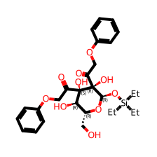 CC[Si](CC)(CC)O[C@H]1O[C@H](CO)[C@@H](O)[C@@](O)(C(=O)COc2ccccc2)[C@]1(O)C(=O)COc1ccccc1